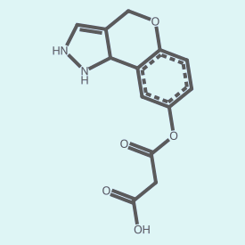 O=C(O)CC(=O)Oc1ccc2c(c1)C1NNC=C1CO2